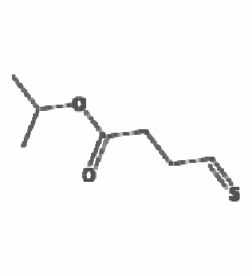 CC(C)OC(=O)CCC=S